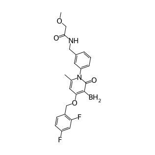 Bc1c(OCc2ccc(F)cc2F)cc(C)n(-c2cccc(CNC(=O)COC)c2)c1=O